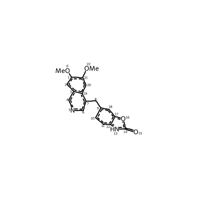 COc1cc2cncc(Cc3ccc4[nH]c(=O)oc4c3)c2cc1OC